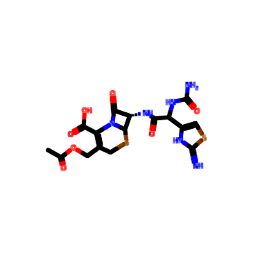 CC(=O)OCC1=C(C(=O)O)N2C(=O)[C@H](NC(=O)C(NC(N)=O)c3csc(=N)[nH]3)C2SC1